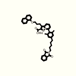 COC(=O)c1nn2c(-c3c(C)cc(CCCCCN4C(=O)c5ccccc5C4=O)cc3C)cccc2c1CCCOc1cccc2ccccc12